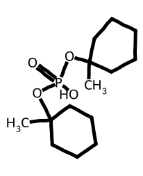 CC1(OP(=O)(O)OC2(C)CCCCC2)CCCCC1